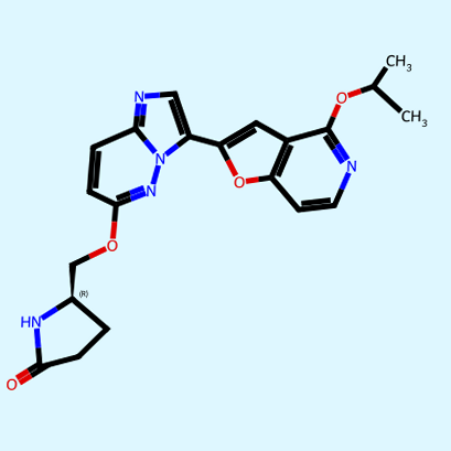 CC(C)Oc1nccc2oc(-c3cnc4ccc(OC[C@H]5CCC(=O)N5)nn34)cc12